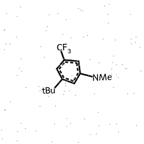 CNc1cc(C(C)(C)C)cc(C(F)(F)F)c1